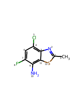 Cc1nc2c(Cl)cc(F)c(N)c2s1